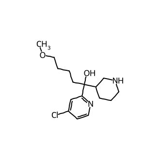 COCCCCC(O)(c1cc(Cl)ccn1)C1CCCNC1